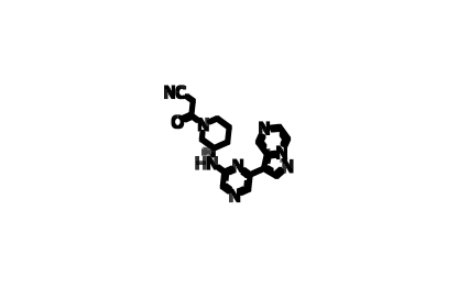 N#CCC(=O)N1CCC[C@@H](Nc2cncc(-c3cnn4ccncc34)n2)C1